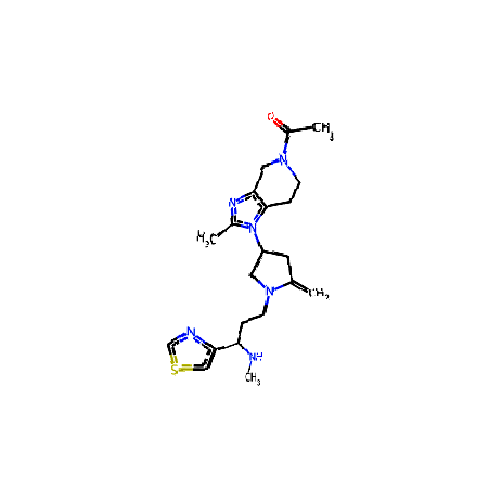 C=C1CC(n2c(C)nc3c2CCN(C(C)=O)C3)CN1CCC(NC)c1cscn1